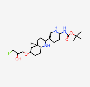 CC(C)(C)OC(=O)NC1CCC(C2CC[C@@H]3CC(OCC(O)CF)CCC3N2)=CN1